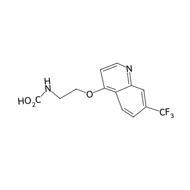 O=C(O)NCCOc1ccnc2cc(C(F)(F)F)ccc12